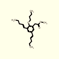 CCC/C=C/c1cc(/C=C/CCC)c(OCCCC)c(CC(=O)OC)c1